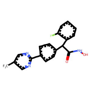 O=C(NO)C(c1ccc(-c2ncc(C(F)(F)F)cn2)cc1)c1ccccc1F